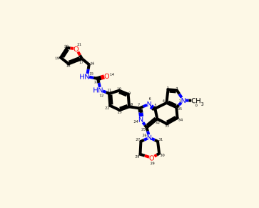 Cn1ccc2c3nc(-c4ccc(NC(=O)NCc5ccco5)cc4)nc(N4CCOCC4)c3ccc21